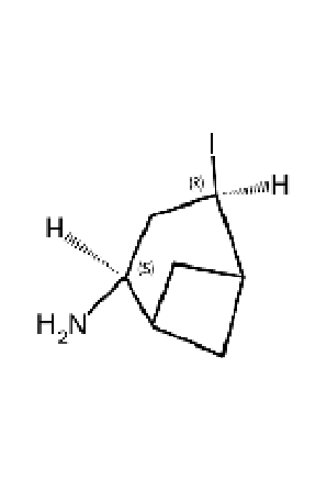 N[C@H]1C[C@@H](I)C2CC1C2